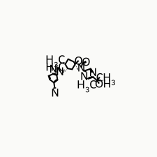 CC(C)(O)c1cnc(N2C[C@]3(CCC(C)(C)[C@@H](Cn4cnc5ccc(C#N)cc54)C3)OC2=O)cn1